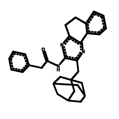 O=C(Cc1ccccc1)Nc1nc2c(nc1CC13CC4CC(CC(C4)C1)C3)-c1ccccc1CC2